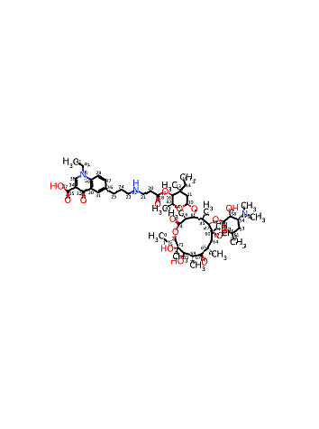 CC[C@@H]1OC(=O)[C@H](C)[C@H](O[C@@H]2C[C@](C)(CC)[C@H](OC(=O)CCNCCCc3ccc4c(c3)c(=O)c(C(=O)O)cn4CC)[C@H](C)O2)[C@@H](C)[C@H](O[C@@H]2O[C@H](C)C[C@H](N(C)C)[C@@H]2O)[C@](C)(OC)C[C@H](C)C(=O)[C@H](C)[C@@H](O)[C@]1(C)O